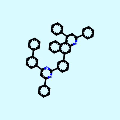 c1ccc(-c2cccc(-c3cc(-c4ccccc4)nc(-c4cccc(-c5cc6nc(-c7ccccc7)cc(-c7ccccc7)c6c6ccccc56)c4)n3)c2)cc1